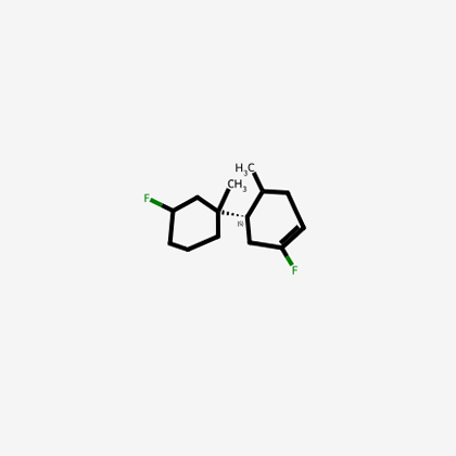 CC1CC=C(F)C[C@@H]1C1(C)CCCC(F)C1